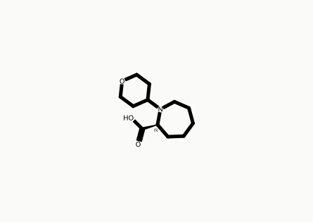 O=C(O)[C@@H]1CCCCCN1C1CCOCC1